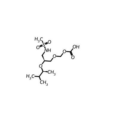 CC(C)[C@H](C)O[C@@H](CNS(C)(=O)=O)COCOC(=O)O